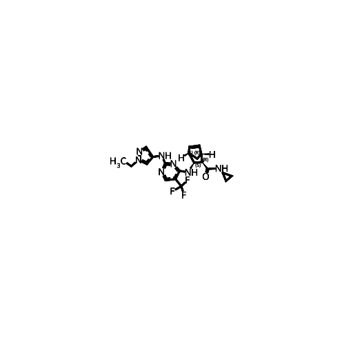 CCn1cc(Nc2ncc(C(F)(F)F)c(N[C@@H]3[C@H](C(=O)NC4CC4)[C@H]4C=C[C@@H]3C4)n2)cn1